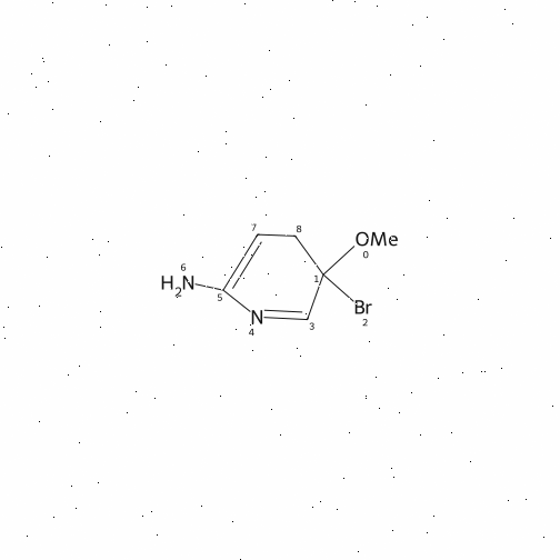 COC1(Br)C=NC(N)=CC1